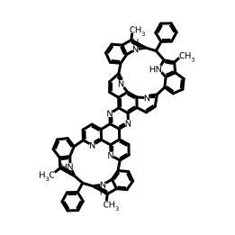 Cc1c2[nH]c3c(cccc13)-c1ccc3c(n1)c1nc(ccc1c1nc4c5ccc6nc5c5nc(ccc5c4nc31)-c1cccc3c(C)c([nH]c13)C(c1ccccc1)c1[nH]c3c-6cccc3c1C)-c1cccc3c(C)c([nH]c13)C2c1ccccc1